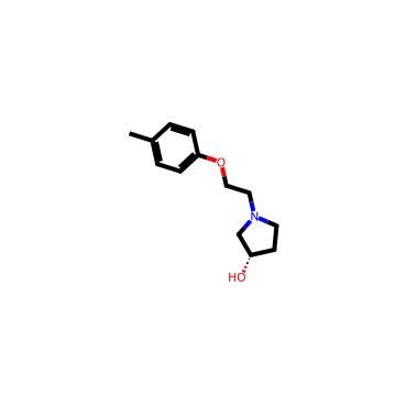 Cc1ccc(OCCN2CC[C@H](O)C2)cc1